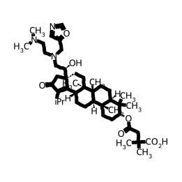 CC(C)C1=C2[C@H]3CC[C@@H]4[C@@]5(C)CC[C@@H](OC(=O)CC(C)(C)C(=O)O)C(C)(C)[C@@H]5CC[C@@]4(C)[C@]3(C)CC[C@@]2([C@@H](O)CN(CCN(C)C)Cc2cnco2)CC1=O